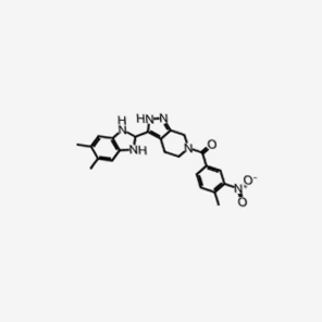 Cc1cc2c(cc1C)NC(c1[nH]nc3c1CCN(C(=O)c1ccc(C)c([N+](=O)[O-])c1)C3)N2